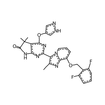 Cc1nc2c(OCc3c(F)cccc3F)cccn2c1-c1nc2c(c(Oc3cn[nH]c3)n1)C(C)(C)C(=O)N2